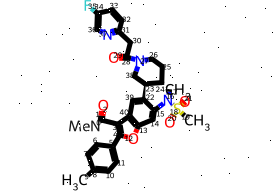 CNC(=O)c1c(-c2ccc(C)cc2)oc2cc(N(C)S(C)(=O)=O)c([C@@H]3CCCN(C(=O)Cc4ccc(F)cn4)C3)cc12